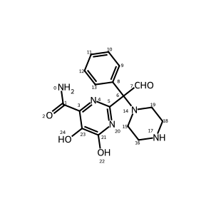 NC(=O)c1nc(C(C=O)(c2ccccc2)N2CCNCC2)nc(O)c1O